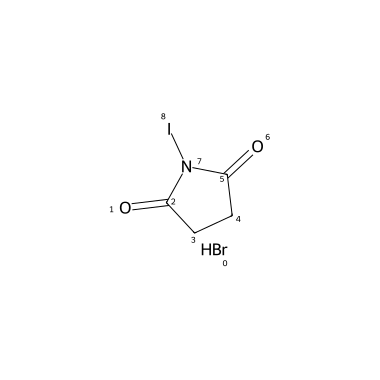 Br.O=C1CCC(=O)N1I